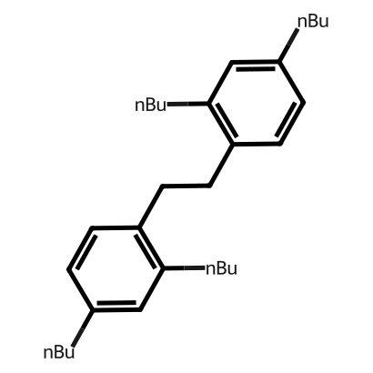 CCCCc1ccc(CCc2ccc(CCCC)cc2CCCC)c(CCCC)c1